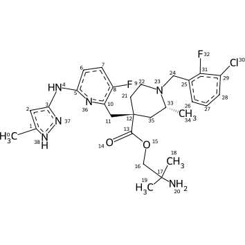 Cc1cc(Nc2ccc(F)c(C[C@@]3(C(=O)OCC(C)(C)N)CCN(Cc4cccc(Cl)c4F)[C@H](C)C3)n2)n[nH]1